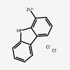 [Cl-].[Cl-].[Zr+2][c]1cccc2c1[pH]c1ccccc12